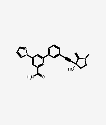 C=C1N(C)CC[C@@]1(O)C#Cc1cccc(-c2cc(-n3cccn3)cc(C(N)=O)n2)c1